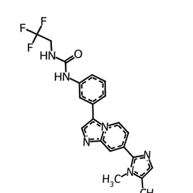 Cc1cnc(-c2ccn3c(-c4cccc(NC(=O)NCC(F)(F)F)c4)cnc3c2)n1C